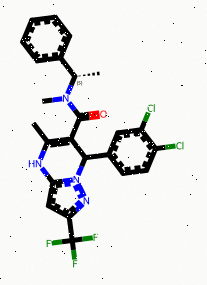 CC1=C(C(=O)N(C)[C@@H](C)c2ccccc2)C(c2ccc(Cl)c(Cl)c2)n2nc(C(F)(F)F)cc2N1